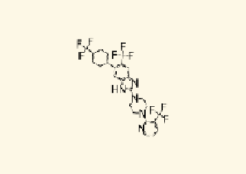 FC(F)(F)c1cc2nc(N3CCN(c4ncccc4C(F)(F)F)CC3)[nH]c2cc1C1=CCC(C(F)(F)F)CC1